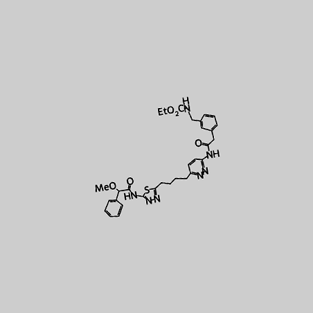 CCOC(=O)NCc1cccc(CC(=O)Nc2ccc(CCCCc3nnc(NC(=O)C(OC)c4ccccc4)s3)nn2)c1